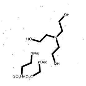 CCCCCCCCCCCC(=O)O.CNCCS(=O)(=O)O.OCCN(CCO)CCO